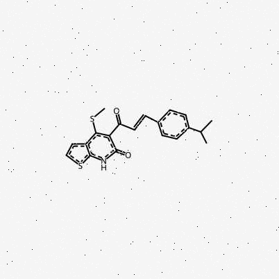 CSc1c(C(=O)/C=C/c2ccc(C(C)C)cc2)c(=O)[nH]c2sccc12